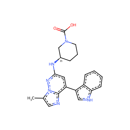 Cc1cnc2c(-c3c[nH]c4ccccc34)cc(N[C@@H]3CCCN(C(=O)O)C3)nn12